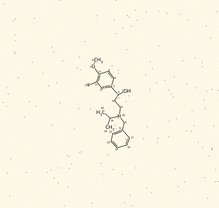 COc1ccc(C(O)CCN(Cc2ccccc2)C(C)C)cc1F